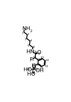 NCCCCCCNC(=O)C(F)c1ccccc1O[PH](O)(O)O